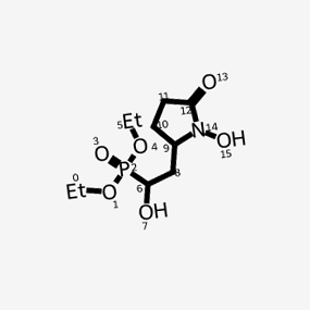 CCOP(=O)(OCC)C(O)CC1CCC(=O)N1O